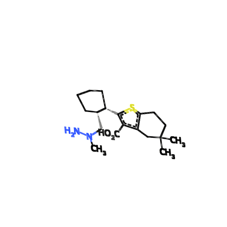 CN(N)C[C@@H]1CCCC[C@@H]1c1sc2c(c1C(=O)O)CC(C)(C)CC2